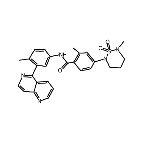 Cc1cc(N2CCCN(C)S2(=O)=O)ccc1C(=O)Nc1ccc(C)c(-c2nccc3ncccc23)c1